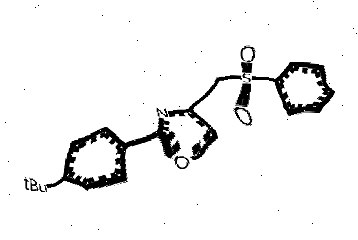 CC(C)(C)c1ccc(-c2nc(CS(=O)(=O)c3ccccc3)co2)cc1